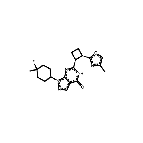 Cc1coc([C@@H]2CC[C@@H]2c2nc3c(cnn3C3CCC(C)(F)CC3)c(=O)[nH]2)n1